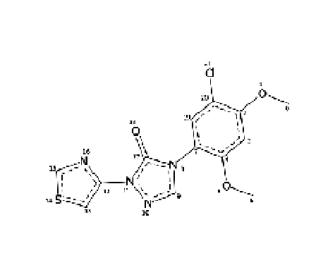 COc1cc(OC)c(-n2cnn(-c3cscn3)c2=O)cc1Cl